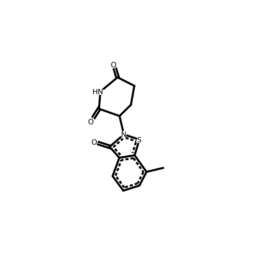 Cc1cccc2c(=O)n(C3CCC(=O)NC3=O)sc12